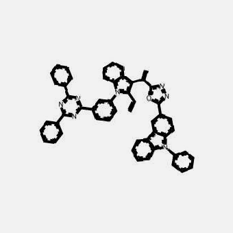 C=Cc1c(C(=C)c2nnc(-c3ccc4c(c3)c3ccccc3n4-c3ccccc3)o2)c2ccccc2n1-c1cccc(-c2nc(-c3ccccc3)nc(-c3ccccc3)n2)c1